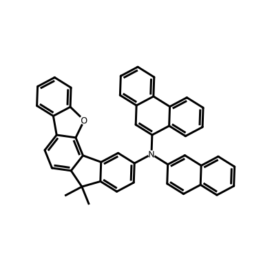 CC1(C)c2ccc(N(c3ccc4ccccc4c3)c3cc4ccccc4c4ccccc34)cc2-c2c1ccc1c2oc2ccccc21